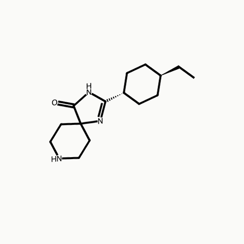 CC[C@H]1CC[C@H](C2=NC3(CCNCC3)C(=O)N2)CC1